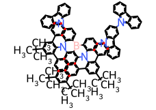 CC(C)(C)c1cc(-c2cc3c4c(c2)N(c2c(-c5ccccc5)cc(C(C)(C)C)cc2-c2ccccc2)c2cc(-n5c6ccccc6c6cc(-n7c8ccccc8c8ccccc87)ccc65)ccc2B4c2ccc(-n4c5ccccc5c5ccccc54)cc2N3c2c(-c3ccccc3)cc(C(C)(C)C)cc2-c2ccccc2)cc(C(C)(C)C)c1